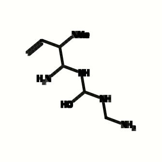 C=CC(NC)C(N)NC(O)NCN